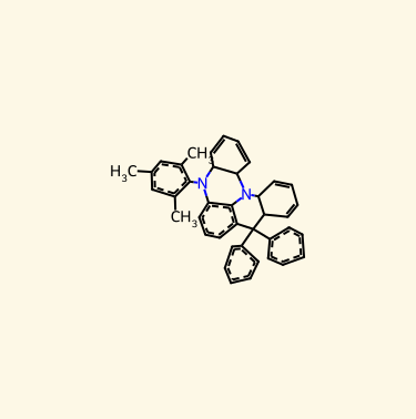 Cc1cc(C)c(N2c3cccc4c3N(C3C=CC=CC32)C2C=CC=CC2C4(c2ccccc2)c2ccccc2)c(C)c1